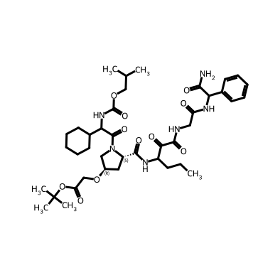 CCCC(NC(=O)[C@@H]1C[C@@H](OCC(=O)OC(C)(C)C)CN1C(=O)C(NC(=O)OCC(C)C)C1CCCCC1)C(=O)C(=O)NCC(=O)NC(C(N)=O)c1ccccc1